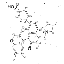 Cc1cc2c(cc1C)N(CC(=O)N(C)C(CN1CCCC1)c1ccc(-c3ccc(C(=O)O)cc3)cc1)C(=O)CO2